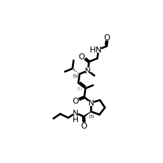 CCCNC(=O)[C@@H]1CCCN1C(=O)/C(C)=C/[C@H](C(C)C)N(C)C(=O)CNC=O